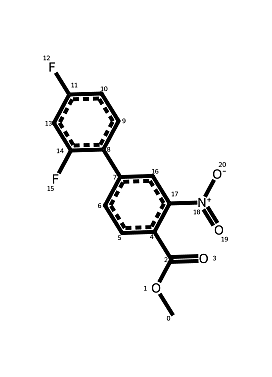 COC(=O)c1ccc(-c2ccc(F)cc2F)cc1[N+](=O)[O-]